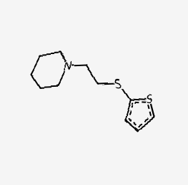 c1csc(SCCN2CCCCC2)c1